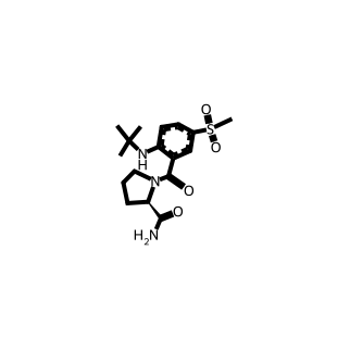 CC(C)(C)Nc1ccc(S(C)(=O)=O)cc1C(=O)N1CCC[C@@H]1C(N)=O